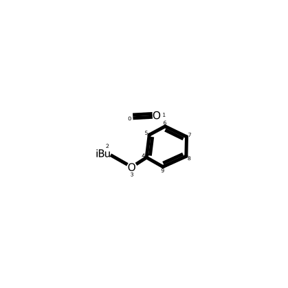 C=O.CCC(C)Oc1ccccc1